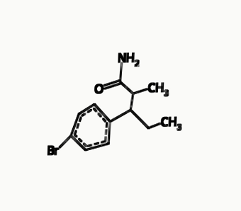 CCC(c1ccc(Br)cc1)C(C)C(N)=O